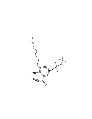 CC(C)CCCCCCc1cc(C(C)(C)CC(C)(C)C)cc(C(=O)O)c1O